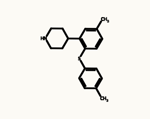 Cc1ccc(Sc2ccc(C)cc2C2CCNCC2)cc1